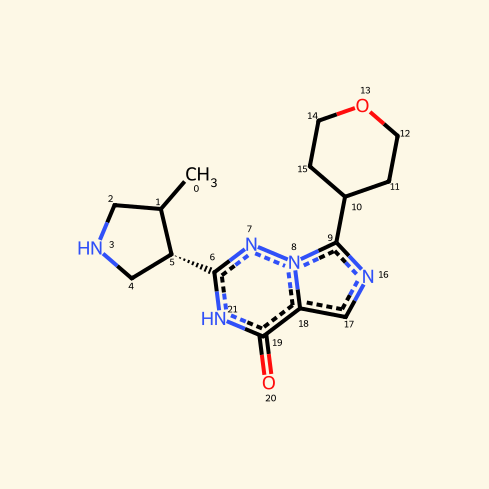 CC1CNC[C@H]1c1nn2c(C3CCOCC3)ncc2c(=O)[nH]1